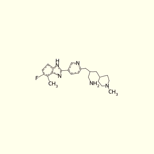 Cc1c(F)ccc2[nH]c(-c3ccc(CC(CN)CC4CCN(C)CC4)nc3)nc12